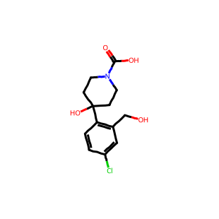 O=C(O)N1CCC(O)(c2ccc(Cl)cc2CO)CC1